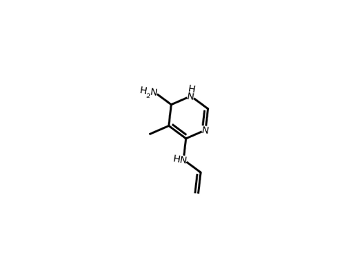 C=CNC1=C(C)C(N)NC=N1